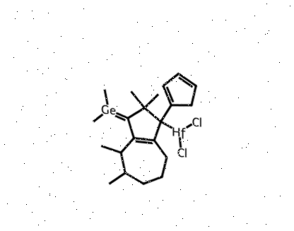 CC1CCCC2=C([C](=[Ge]([CH3])[CH3])C(C)(C)[C]2(C2=CC=CC2)[Hf]([Cl])[Cl])C1C